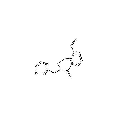 O=Cc1cccc2c1CCN(Cc1ccccn1)C2=O